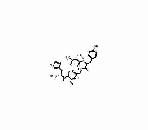 CC(C)[C@H](NC(=O)CNC(=O)[C@H](Cc1ccc(O)cc1)NC(=O)[C@@H](N)[C@@H](C)O)C(=O)N[C@@H](Cc1c[nH]cn1)C(=O)O